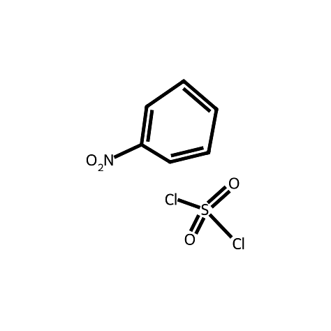 O=S(=O)(Cl)Cl.O=[N+]([O-])c1ccccc1